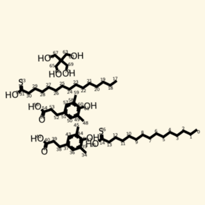 CCCCCCCCCCCCCCC(O)=S.CCCCCCCCCCCCCCC(O)=S.Cc1cc(CCC(=O)O)cc(C)c1O.Cc1cc(CCC(=O)O)cc(C)c1O.OCC(CO)(CO)CO